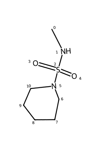 CNS(=O)(=O)N1CCCCC1